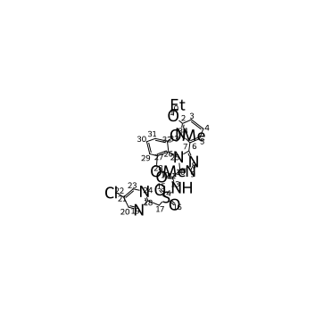 CCOc1cccc(-c2nnc(C(=O)NS(=O)(=O)Cc3ncc(Cl)cn3)n2-c2c(OC)cccc2OC)n1